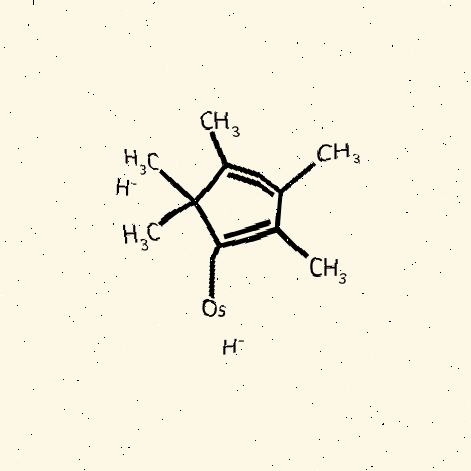 CC1=C(C)C(C)(C)[C]([Os])=C1C.[H-].[H-]